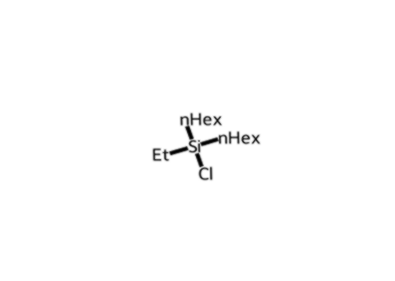 CCCCCC[Si](Cl)(CC)CCCCCC